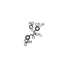 CN(C(=O)Cc1ccc2sc(=O)[nH]c2c1)[C@H](CN1CC[C@@H](O)C1)c1cccc(C(=O)O)c1